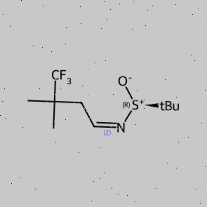 CC(C)(C)[S@+]([O-])/N=C\CC(C)(C)C(F)(F)F